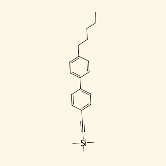 CCCCCc1ccc(-c2ccc(C#C[Si](C)(C)C)cc2)cc1